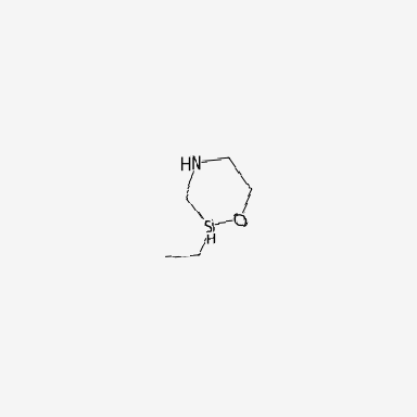 CC[SiH]1CNCCO1